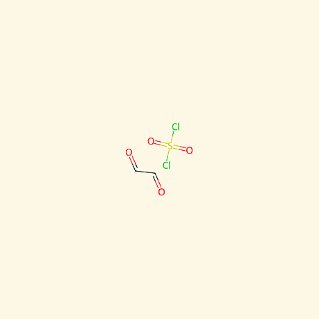 O=CC=O.O=S(=O)(Cl)Cl